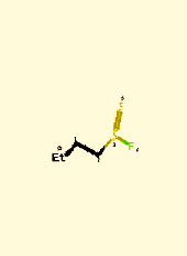 CCCCS(F)=S